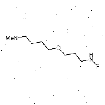 CNCCCCOCCCNF